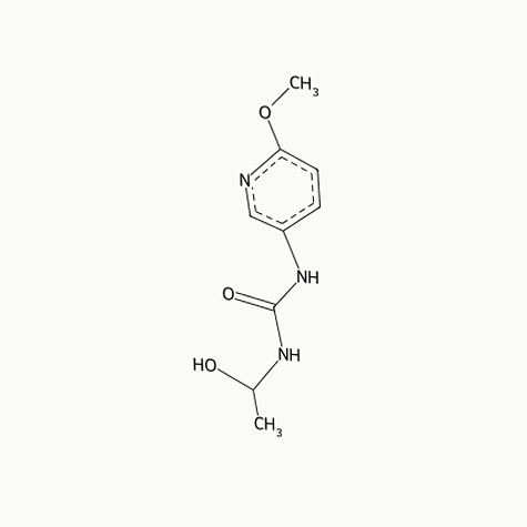 COc1ccc(NC(=O)NC(C)O)cn1